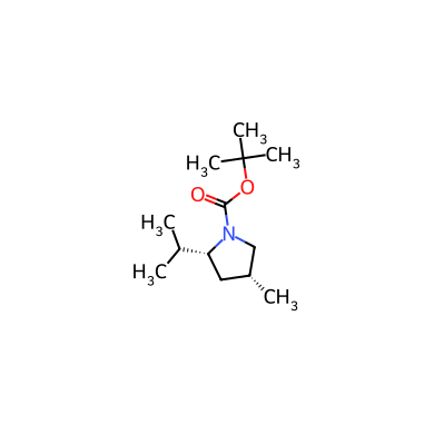 CC(C)[C@H]1C[C@@H](C)CN1C(=O)OC(C)(C)C